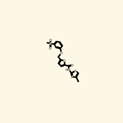 Cc1csc(NC(=O)c2ccc(COc3cccc(S(C)(=O)=O)c3)o2)n1